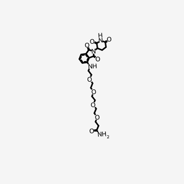 NC(=O)CCOCCOCCOCCOCCNc1cccc2c1C(=O)N(C1CCC(=O)NC1=O)C2=O